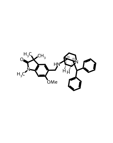 COc1cc2c(cc1CN[C@H]1C3CCN(CC3)[C@H]1C(c1ccccc1)c1ccccc1)C(C)(C)C(=O)N2C